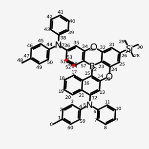 Cc1ccc(N(c2ccccc2)c2cc3c(c4ccccc24)B2c4c(cc([Si](C)(C)C)cc4Oc4cc(N(c5ccccc5)c5ccc(C)cc5)c5ccccc5c42)O3)cc1